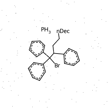 CCCCCCCCCCCCC(c1ccccc1)C(Br)(c1ccccc1)c1ccccc1.P